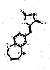 O=C1NC(=S)S/C1=C\c1ccc2c(c1)NCCCO2